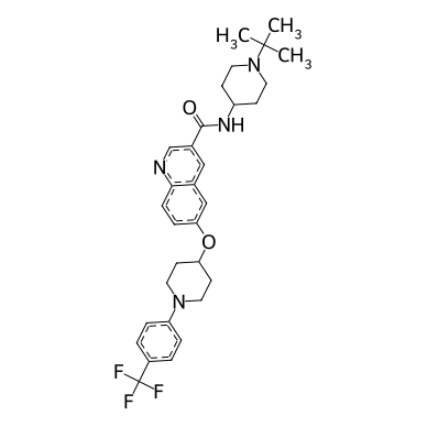 CC(C)(C)N1CCC(NC(=O)c2cnc3ccc(OC4CCN(c5ccc(C(F)(F)F)cc5)CC4)cc3c2)CC1